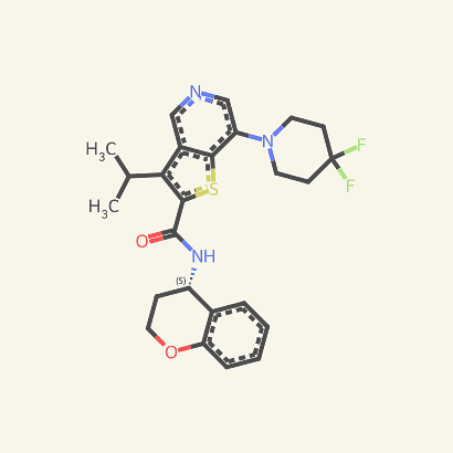 CC(C)c1c(C(=O)N[C@H]2CCOc3ccccc32)sc2c(N3CCC(F)(F)CC3)cncc12